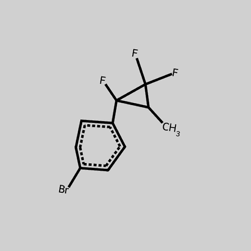 CC1C(F)(F)C1(F)c1ccc(Br)cc1